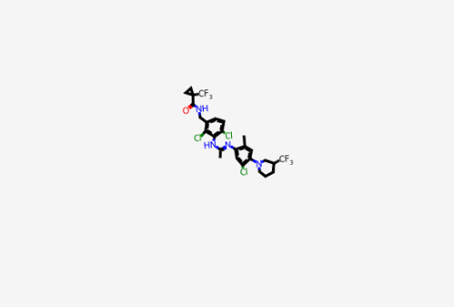 C/C(=N\c1cc(Cl)c(N2CCCC(C(F)(F)F)C2)cc1C)Nc1c(Cl)ccc(CNC(=O)C2(C(F)(F)F)CC2)c1Cl